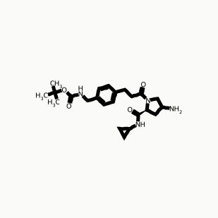 CC(C)(C)OC(=O)NCc1ccc(CCC(=O)N2CC(N)C[C@H]2C(=O)NC2CC2)cc1